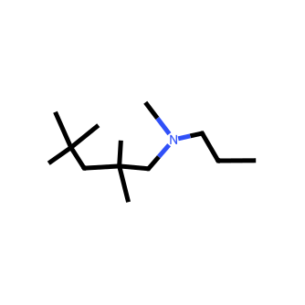 CCCN(C)CC(C)(C)CC(C)(C)C